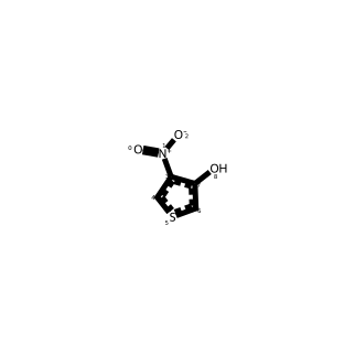 O=[N+]([O-])c1cscc1O